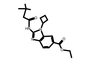 CCOC(=O)c1ccc2nc(NC(=O)CC(C)(C)C)n(C3CCC3)c2c1